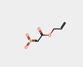 C=CCOC(=O)C=S(=O)=O